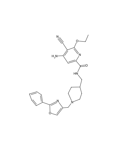 CCOc1nc(C(=O)NCC2CCN(Cc3coc(-c4ccccc4)n3)CC2)cc(N)c1C#N